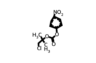 CC(C)(CCl)OC(=O)Oc1ccc([N+](=O)[O-])cc1